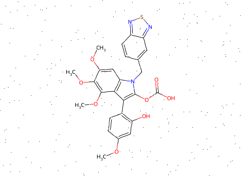 COc1ccc(-c2c(OC(=O)O)n(Cc3ccc4nsnc4c3)c3cc(OC)c(OC)c(OC)c23)c(O)c1